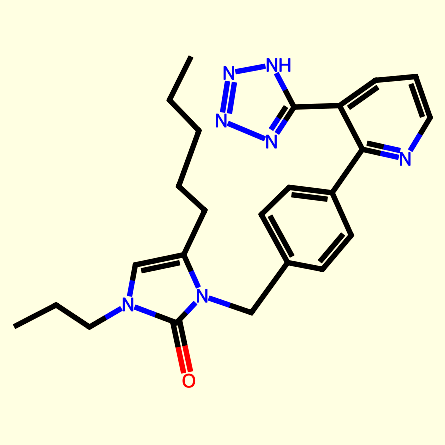 CCCCCc1cn(CCC)c(=O)n1Cc1ccc(-c2ncccc2-c2nnn[nH]2)cc1